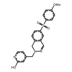 COc1ccc(S(=O)(=O)c2ccc3c(c2)C=NN(Cc2ccnc(O)c2)C3)cc1